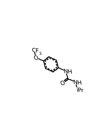 CC(C)NC(=O)Nc1ccc(OC(F)(F)F)cc1